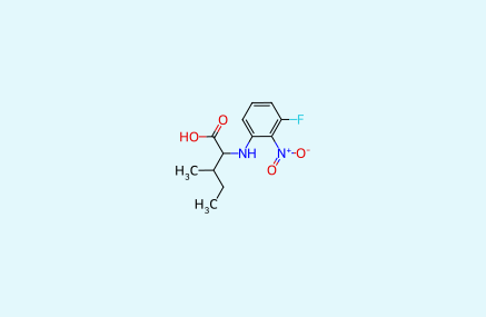 CCC(C)C(Nc1cccc(F)c1[N+](=O)[O-])C(=O)O